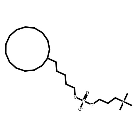 C[N+](C)(C)CCCOP(=O)([O-])OCCCCCC1CCCCCCCCCCCCCC1